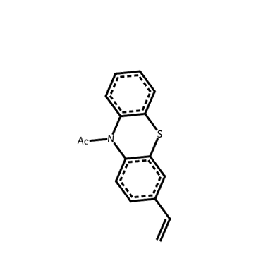 C=Cc1ccc2c(c1)Sc1ccccc1N2C(C)=O